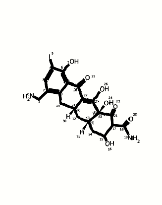 NCc1cc(I)c(O)c2c1C[C@H]1C[C@H]3CC(O)C(C(N)=O)C(=O)[C@@]3(O)C(O)=C1C2=O